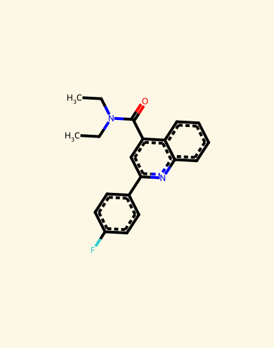 CCN(CC)C(=O)c1cc(-c2ccc(F)cc2)nc2ccccc12